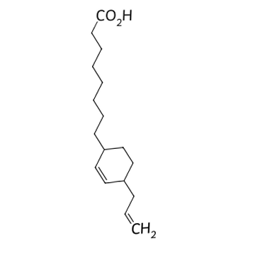 C=CCC1C=CC(CCCCCCCC(=O)O)CC1